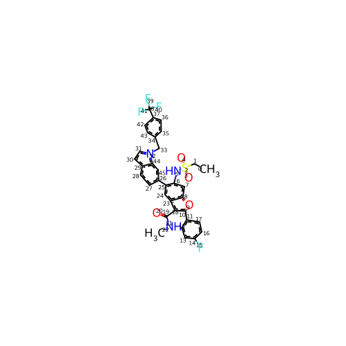 CCS(=O)(=O)Nc1cc2oc(-c3ccc(F)cc3)c(C(=O)NC)c2cc1-c1ccc2ccn(Cc3ccc(C(F)(F)F)cc3)c2c1